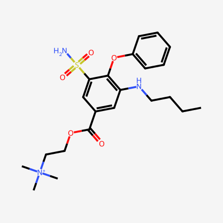 CCCCNc1cc(C(=O)OCC[N+](C)(C)C)cc(S(N)(=O)=O)c1Oc1ccccc1